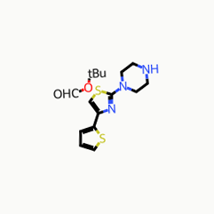 CC(C)(C)OC=O.c1csc(-c2csc(N3CCNCC3)n2)c1